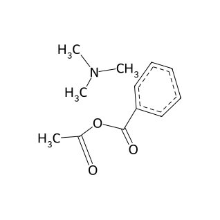 CC(=O)OC(=O)c1ccccc1.CN(C)C